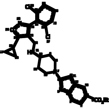 CCOC(=O)c1ccc2nc(N3CCC(NCc4c(-c5c(Cl)cccc5Cl)noc4C4CC4)CC3)sc2c1